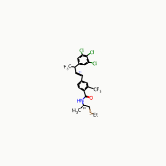 CCSC[C@@H](C)NC(=O)c1ccc(/C=C/C(c2cc(Cl)c(Cl)c(Cl)c2)C(F)(F)F)cc1C(F)(F)F